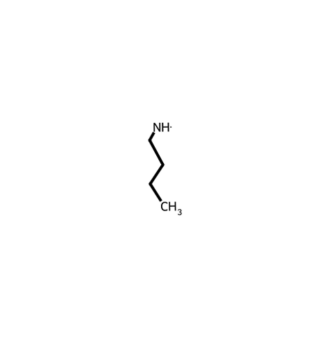 CCCC[NH]